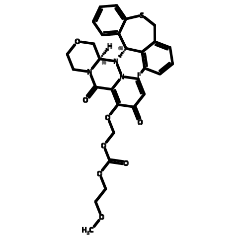 COCCOC(=O)OCOc1c2n(ccc1=O)N([C@@H]1c3ccccc3SCc3cccc(F)c31)[C@@H]1COCCN1C2=O